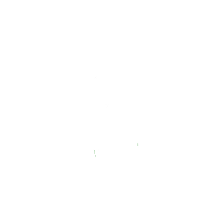 Fc1cccc(F)c1[CH]Cl